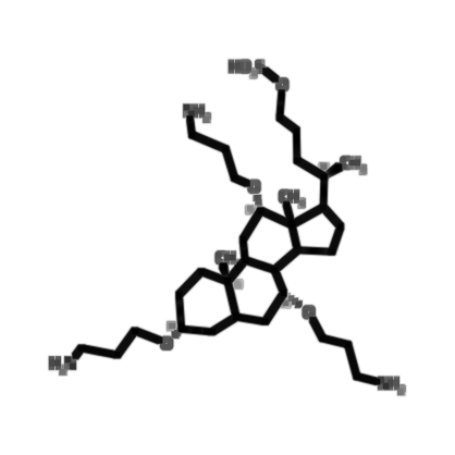 C[C@H](CCCOS(=O)(=O)O)C1CCC2C3C(C[C@H](OCCCN)C21C)[C@@]1(C)CC[C@@H](OCCCN)CC1C[C@H]3OCCCN